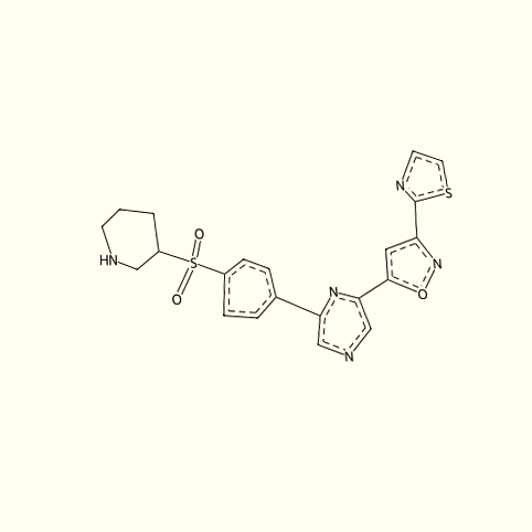 O=S(=O)(c1ccc(-c2cncc(-c3cc(-c4nccs4)no3)n2)cc1)C1CCCNC1